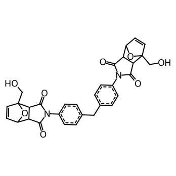 O=C1C2C3C=CC(CO)(O3)C2C(=O)N1c1ccc(Cc2ccc(N3C(=O)C4C5C=CC(CO)(O5)C4C3=O)cc2)cc1